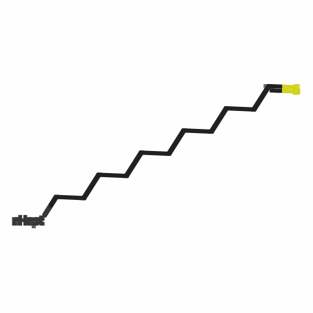 CCCCCCCCCCCCCCCCC[C]=S